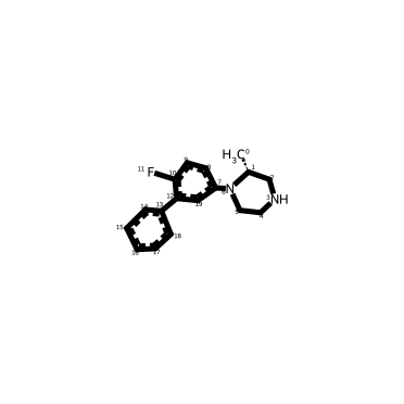 C[C@@H]1CNCCN1c1ccc(F)c(-c2ccccc2)c1